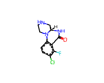 O=C1N[C@H]2CNCCN2c2ccc(Cl)c(F)c21